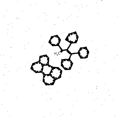 C=C(C(=C(c1ccccc1)c1ccccc1)c1ccccc1)c1ccccc1.c1cc2cccc3c4cccc5cccc(c(c1)c23)c54